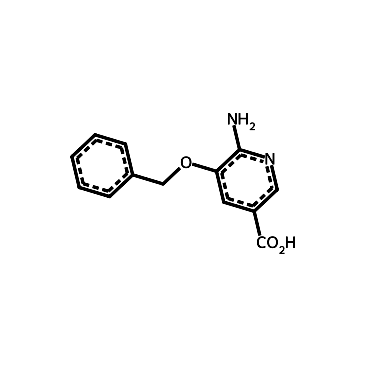 Nc1ncc(C(=O)O)cc1OCc1ccccc1